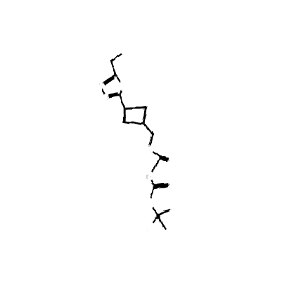 CC(C)(C)OC(=O)NC(=O)OCC1CC(c2nnc(CO)s2)C1